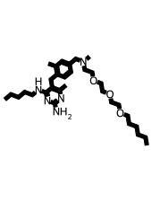 CCCCCCOCCOCCOCCN(C)Cc1ccc(Cc2c(C)nc(N)nc2NCCCCC)c(C)c1